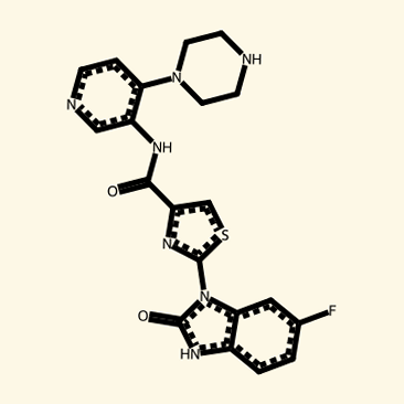 O=C(Nc1cnccc1N1CCNCC1)c1csc(-n2c(=O)[nH]c3ccc(F)cc32)n1